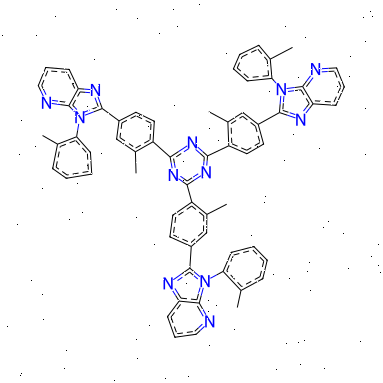 Cc1cc(-c2nc3cccnc3n2-c2ccccc2C)ccc1-c1nc(-c2ccc(-c3nc4cccnc4n3-c3ccccc3C)cc2C)nc(-c2ccc(-c3nc4cccnc4n3-c3ccccc3C)cc2C)n1